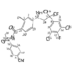 Cc1cc(C2=NOC(c3cc(Cl)c(F)c(Cl)c3)(C(F)(F)F)C2)ccc1C(=O)N=S(C)(=O)c1ccc(C#N)cc1